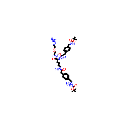 CC(C)(C)OC(=O)NCc1ccc(CC(=O)NCCCC[C@H](NC(=O)Cc2ccc(CNC(=O)OC(C)(C)C)cc2)C(=O)NCCOCCN=[N+]=[N-])cc1